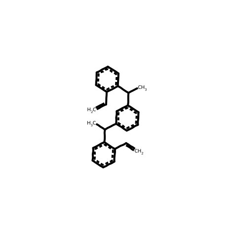 C=Cc1ccccc1C(C)c1cccc(C(C)c2ccccc2C=C)c1